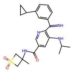 CC(C)Nc1cc(C(=O)NC2(C)CS(=O)(=O)C2)cnc1C(=N)c1cccc(C2CC2)c1